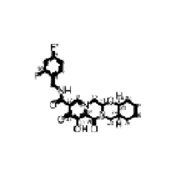 O=C(NCc1ccc(F)cc1F)c1cn2c(c(O)c1=O)C(=O)N1C[C@H]3CCCC[C@@H]3OC1C2